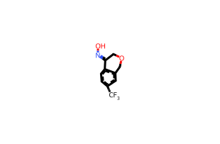 ON=C1COCc2cc(C(F)(F)F)ccc21